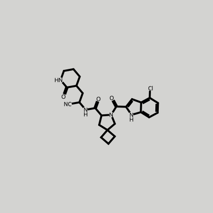 N#CC(CC1CCCNC1=O)NC(=O)C1CC2(CCC2)CN1C(=O)c1cc2c(Cl)cccc2[nH]1